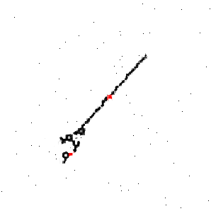 CCN(CC)c1ccc(NC(=O)c2cccc(COCCOCCOCCOCCOC(=O)NCCOCCOCCOCCOCCOCCOCCOC)c2)c(-c2cc(C(=O)NCc3cccc(C(F)(F)F)c3)ccn2)c1